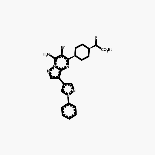 CCOC(=O)C(F)[C@H]1CC[C@@H](c2nc3c(-c4cnn(-c5ccccc5)c4)cnn3c(N)c2Br)CC1